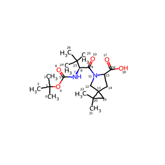 CC(C)(C)OC(=O)N[C@H](C(=O)N1CC2(CC1C(=O)O)CC2(C)C)C(C)(C)C